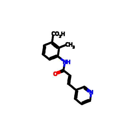 Cc1c(NC(=O)C=Cc2cccnc2)cccc1C(=O)O